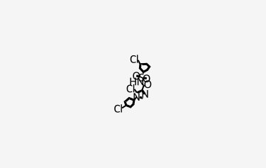 O=C(NS(=O)(=O)c1cccc(Cl)c1)c1ncn(-c2ccc(Cl)cc2)c1Cl